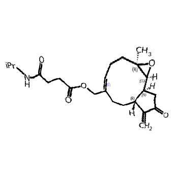 C=C1C(=O)C[C@H]2[C@H]1CC/C(COC(=O)CCC(=O)NC(C)C)=C\CC[C@@]1(C)O[C@@H]21